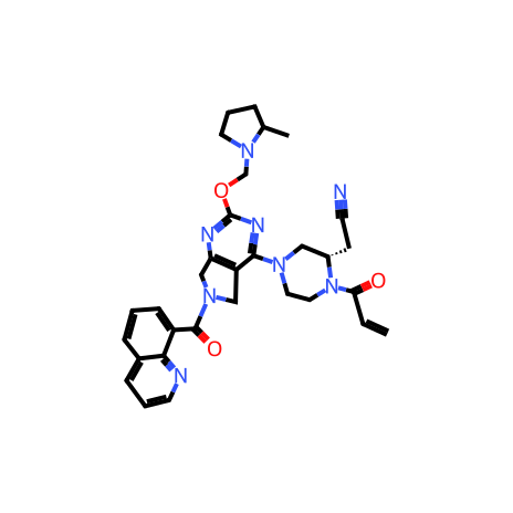 C=CC(=O)N1CCN(c2nc(OCN3CCCC3C)nc3c2CN(C(=O)c2cccc4cccnc24)C3)C[C@@H]1CC#N